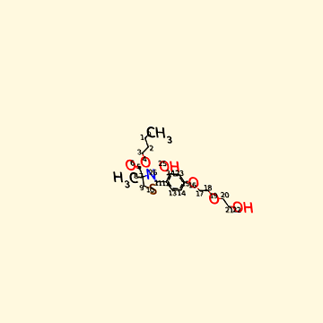 CCCCOC(=O)[C@@]1(C)CSC(c2ccc(OCCOCCO)cc2O)=N1